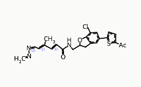 C=N\N=C/C=C(C)/C=C/C(=O)NCC1Cc2cc(-c3ccc(C(C)=O)s3)cc(Cl)c2O1